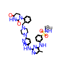 Cc1cnc(Nc2ccc(N3CCN(Cc4ccccc4N4CCC(=O)NC4=O)CC3)nn2)nc1Nc1cccc(S(=O)(=O)NC(C)(C)C)c1